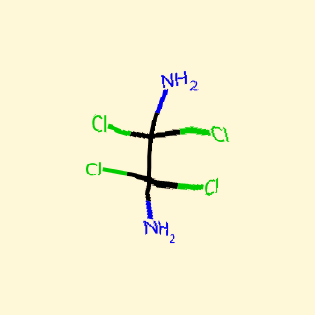 NC(Cl)(Cl)C(N)(Cl)Cl